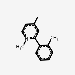 Cc1ccccc1-c1cc(I)cc[n+]1C